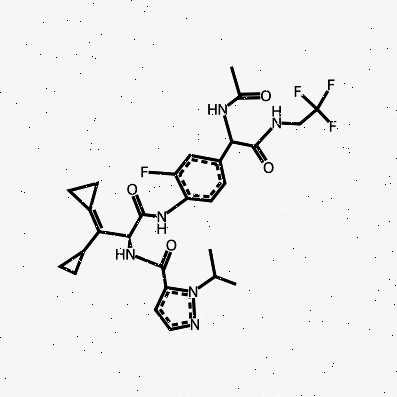 CC(=O)NC(C(=O)NCC(F)(F)F)c1ccc(NC(=O)[C@@H](NC(=O)c2ccnn2C(C)C)C(=C2CC2)C2CC2)c(F)c1